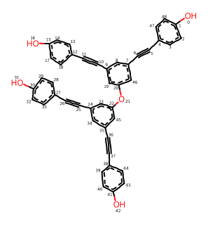 Oc1ccc(C#Cc2cc(C#Cc3ccc(O)cc3)cc(Oc3cc(C#Cc4ccc(O)cc4)cc(C#Cc4ccc(O)cc4)c3)c2)cc1